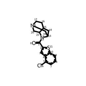 O=C(c1cc2c(Cl)cccc2s1)N1C2CC3CCN(C2)CC31